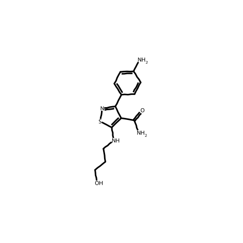 NC(=O)c1c(-c2ccc(N)cc2)nsc1NCCCO